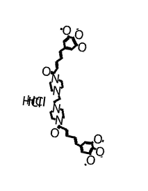 COc1cc(C=CC=CC(=O)N2CCN(CCN3CCN(C(=O)C=CC=Cc4cc(OC)c(OC)c(OC)c4)CC3)CC2)cc(OC)c1OC.Cl.Cl